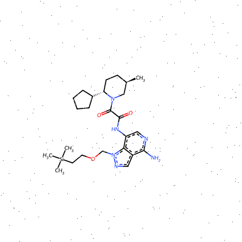 C[C@@H]1CC[C@@H](C2CCCC2)N(C(=O)C(=O)Nc2cnc(N)c3cnn(COCC[Si](C)(C)C)c23)C1